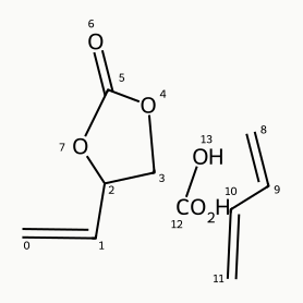 C=CC1COC(=O)O1.C=CC=C.O=C(O)O